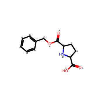 O=C(O)C1CCC(C(=O)OCc2ccccc2)N1